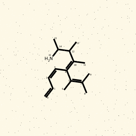 C=C/C=C\C(C(C)=C(C)C)=C(\C)C(C)C(C)N